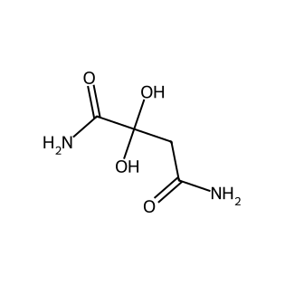 NC(=O)CC(O)(O)C(N)=O